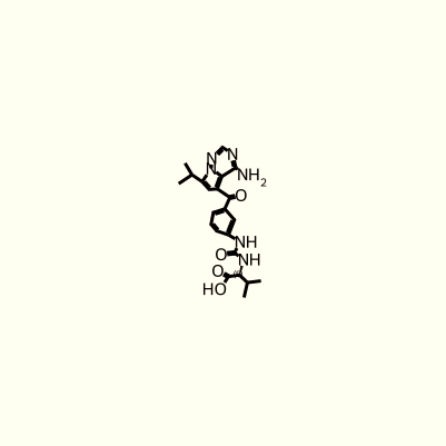 CC(C)c1cc(C(=O)c2cccc(NC(=O)N[C@H](C(=O)O)C(C)C)c2)c2c(N)ncnn12